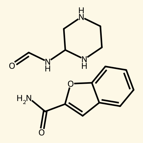 NC(=O)c1cc2ccccc2o1.O=CNC1CNCCN1